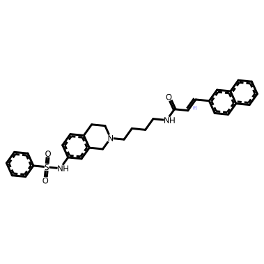 O=C(/C=C/c1ccc2ccccc2c1)NCCCCN1CCc2ccc(NS(=O)(=O)c3ccccc3)cc2C1